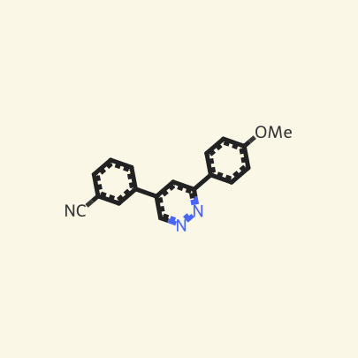 COc1ccc(-c2cc(-c3cccc(C#N)c3)cnn2)cc1